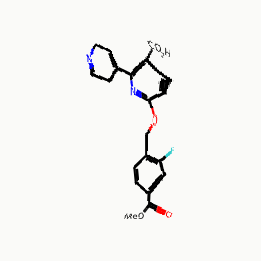 COC(=O)c1ccc(COc2ccc(C(=O)O)c(C3=CCN=CC3)n2)c(F)c1